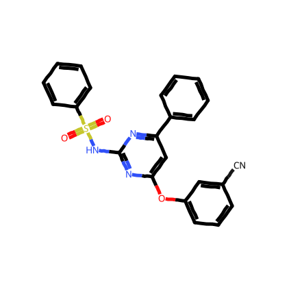 N#Cc1cccc(Oc2cc(-c3ccccc3)nc(NS(=O)(=O)c3ccccc3)n2)c1